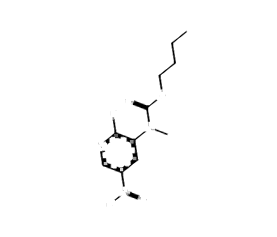 CCCCOC(=O)N(C)c1cc([N+](=O)[O-])cnc1Cl